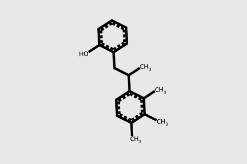 Cc1ccc(C(C)Cc2ccccc2O)c(C)c1C